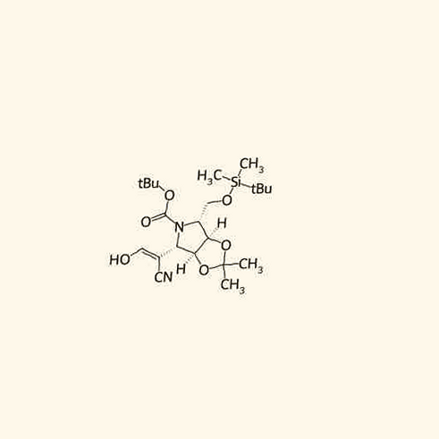 CC(C)(C)OC(=O)N1[C@H](CO[Si](C)(C)C(C)(C)C)[C@H]2OC(C)(C)O[C@H]2[C@@H]1/C(C#N)=C/O